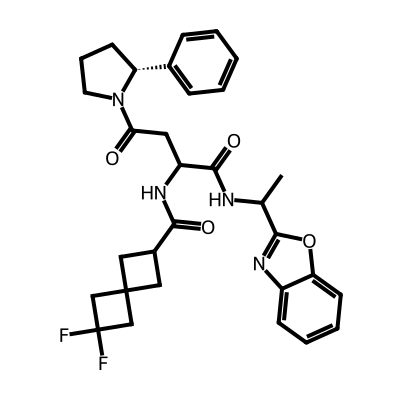 CC(NC(=O)C(CC(=O)N1CCC[C@@H]1c1ccccc1)NC(=O)C1CC2(C1)CC(F)(F)C2)c1nc2ccccc2o1